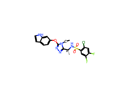 CCn1c(Oc2ccc3cc[nH]c3c2)nnc1[C@@H](C)NS(=O)(=O)c1cc(F)c(F)cc1Cl